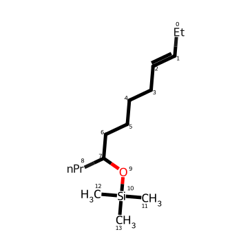 CCC=CCCCCC(CCC)O[Si](C)(C)C